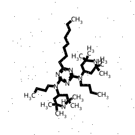 CCCCCCCCc1nc(N(CCCC)C2CC(C)(C)NC(C)(C)C2)nc(N(CCCC)C2CC(C)(C)NC(C)(C)C2)n1